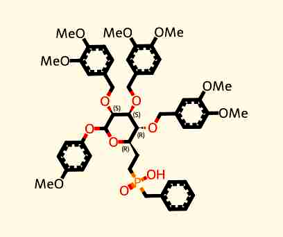 COc1ccc(OC2O[C@H](CCP(=O)(O)Cc3ccccc3)[C@@H](OCc3ccc(OC)c(OC)c3)[C@H](OCc3ccc(OC)c(OC)c3)[C@@H]2OCc2ccc(OC)c(OC)c2)cc1